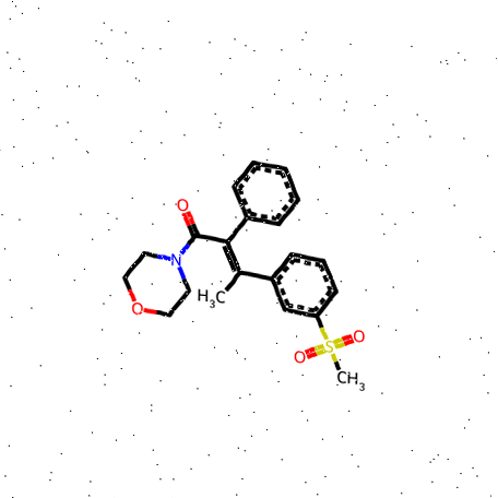 CC(=C(C(=O)N1CCOCC1)c1ccccc1)c1cccc(S(C)(=O)=O)c1